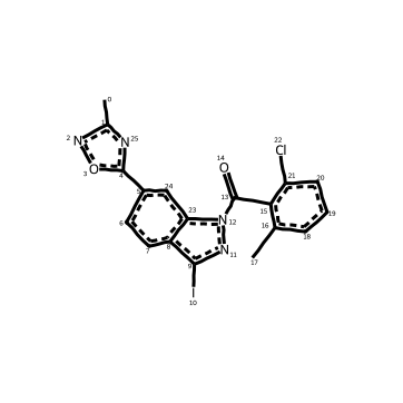 Cc1noc(-c2ccc3c(I)nn(C(=O)c4c(C)cccc4Cl)c3c2)n1